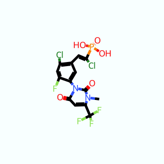 Cn1c(C(F)(F)F)cc(=O)n(-c2cc(C=C(Cl)P(=O)(O)O)c(Cl)cc2F)c1=O